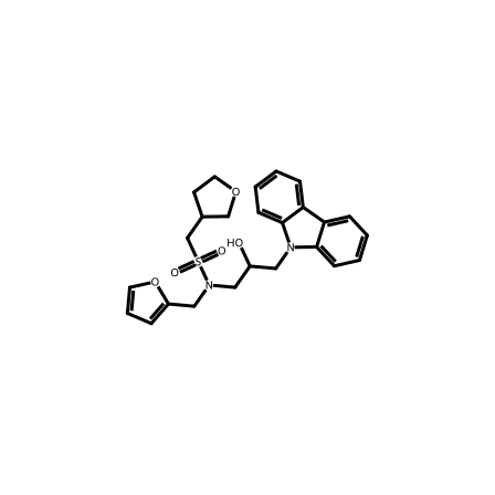 O=S(=O)(CC1CCOC1)N(Cc1ccco1)CC(O)Cn1c2ccccc2c2ccccc21